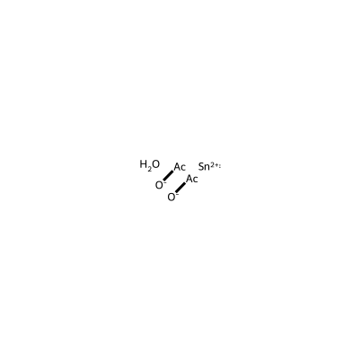 CC(=O)[O-].CC(=O)[O-].O.[Sn+2]